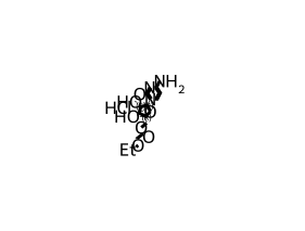 CCOCC(=O)OC[C@H]1O[C@@H](n2ccc(N)nc2=O)[C@@H](O)[C@@H]1O.Cl